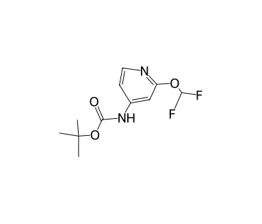 CC(C)(C)OC(=O)Nc1ccnc(OC(F)F)c1